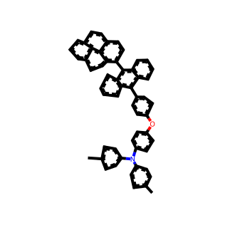 Cc1ccc(N(c2ccc(C)cc2)c2ccc(Oc3ccc(-c4c5ccccc5c(-c5ccc6ccc7cccc8ccc5c6c78)c5ccccc45)cc3)cc2)cc1